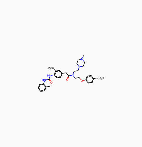 COc1cc(CC(=O)N(CCOc2ccc(C(=O)O)cc2)CCN2CCN(C)CC2)ccc1NC(=O)Nc1ccccc1C